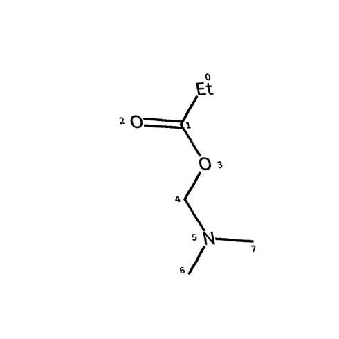 CCC(=O)OCN(C)C